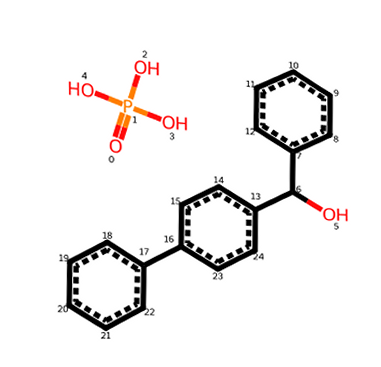 O=P(O)(O)O.OC(c1ccccc1)c1ccc(-c2ccccc2)cc1